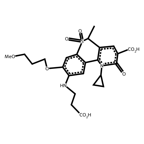 COCCCOc1cc2c(cc1NCCC(=O)O)-c1c(cc(C(=O)O)c(=O)n1C1CC1)C(C)S2(=O)=O